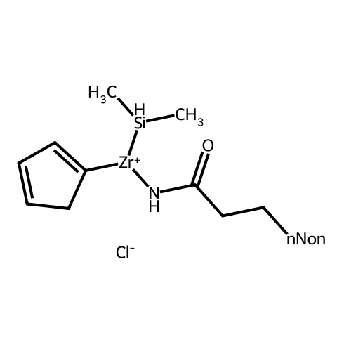 CCCCCCCCCCCC(=O)[NH][Zr+]([C]1=CC=CC1)[SiH](C)C.[Cl-]